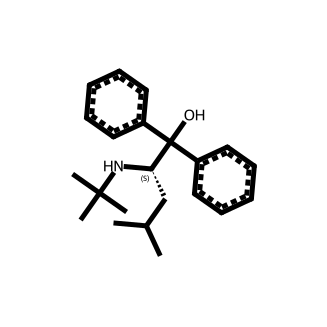 CC(C)C[C@H](NC(C)(C)C)C(O)(c1ccccc1)c1ccccc1